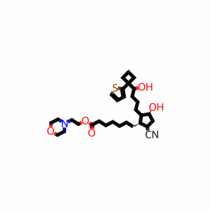 N#CC1C[C@@H](O)C(CCCC(O)C2(c3cccs3)CCC2)[C@H]1CCCCCCC(=O)OCCN1CCOCC1